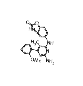 COc1ccccc1-c1nc(N)nc(Nc2ccc3oc(=O)[nH]c3c2)c1C